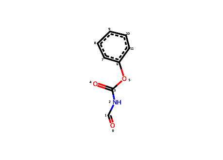 O=[C]NC(=O)Oc1ccccc1